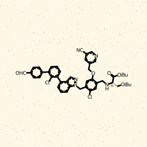 CC(C)COC[C@H](NCc1cc(Cl)c(Cn2ncc3c(-c4cccc(-c5ccc(C=O)cc5)c4Cl)cccc32)cc1OCc1cncc(C#N)c1)C(=O)OCC(C)C